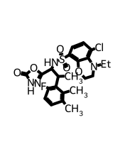 CCN1CCOc2c(S(=O)(=O)NC(c3n[nH]c(=O)o3)C(C)c3c(F)ccc(C)c3C)ccc(Cl)c21